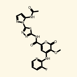 COc1c(Nc2ncccc2F)cc(C(=O)Nc2nnc(-n3nccc3NC(C)=O)s2)oc1=O